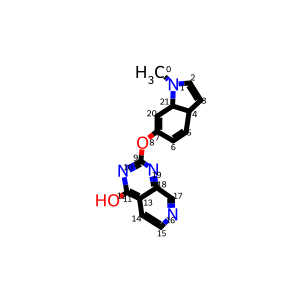 CN1C=CC2C=CC(Oc3nc(O)c4ccncc4n3)=CC21